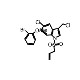 C=CCS(=O)(=O)n1cc(CCl)c2cc(Cl)ccc21.COc1ccccc1Br